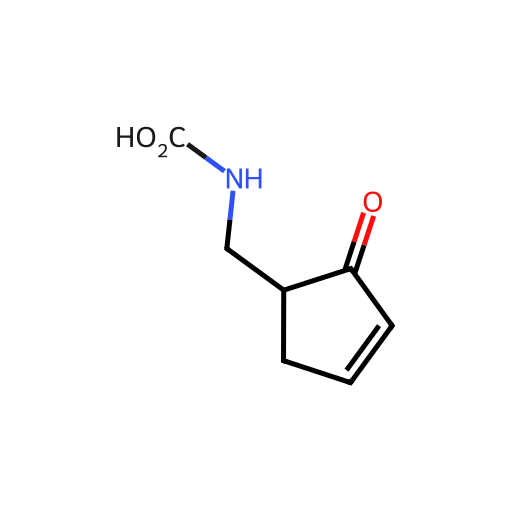 O=C(O)NCC1CC=CC1=O